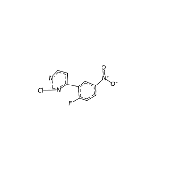 O=[N+]([O-])c1ccc(F)c(-c2ccnc(Cl)n2)c1